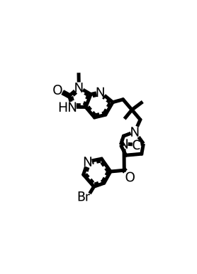 Cn1c(=O)[nH]c2ccc(CC(C)(C)CN3CC4CCC3CN4C(=O)c3cncc(Br)c3)nc21